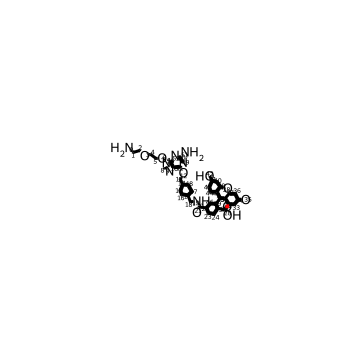 NCCOCCOn1cnc2c(OCc3ccc(CNC(=O)c4ccc(C(=O)O)c(-c5c6ccc(=O)cc-6oc6cc(O)ccc56)c4)cc3)nc(N)nc21